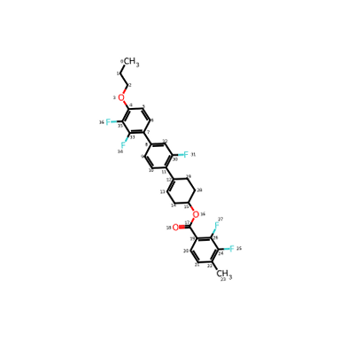 CCCOc1ccc(-c2ccc(C3=CCC(OC(=O)c4ccc(C)c(F)c4F)CC3)c(F)c2)c(F)c1F